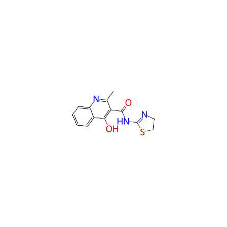 Cc1nc2ccccc2c(O)c1C(=O)NC1=NCCS1